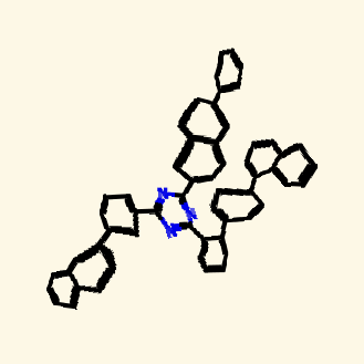 c1ccc(-c2ccc3cc(-c4nc(-c5cccc(-c6ccc7ccccc7c6)c5)nc(-c5ccccc5-c5ccc(-c6cccc7ccccc67)cc5)n4)ccc3c2)cc1